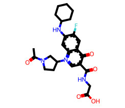 CC(=O)N1CCC(n2cc(C(=O)NCC(=O)O)c(=O)c3cc(F)c(NC4CCCCC4)cc32)C1